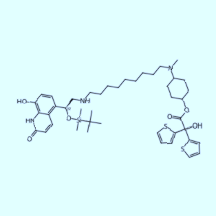 CN(CCCCCCCCCNC[C@@H](O[Si](C)(C)C(C)(C)C)c1ccc(O)c2[nH]c(=O)ccc12)C1CCC(OC(=O)C(O)(c2cccs2)c2cccs2)CC1